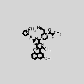 C=C(F)C(=O)N1CCN(c2nc(OC[C@@H]3CCCN3C)nc3cc(-c4cc(O)cc5cccc(C)c45)c(C)nc23)CC1CC#N